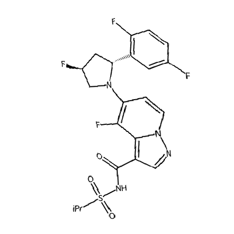 CC(C)S(=O)(=O)NC(=O)c1cnn2ccc(N3C[C@@H](F)C[C@@H]3c3cc(F)ccc3F)c(F)c12